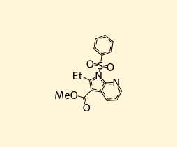 CCc1c(C(=O)OC)c2cccnc2n1S(=O)(=O)c1ccccc1